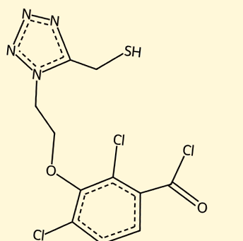 O=C(Cl)c1ccc(Cl)c(OCCn2nnnc2CS)c1Cl